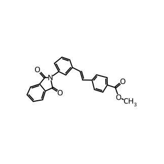 COC(=O)c1ccc(C=Cc2cccc(N3C(=O)c4ccccc4C3=O)c2)cc1